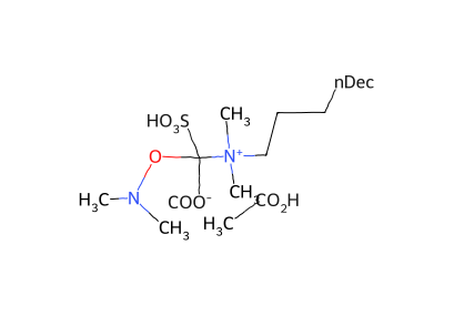 CC(=O)O.CCCCCCCCCCCCC[N+](C)(C)C(ON(C)C)(C(=O)[O-])S(=O)(=O)O